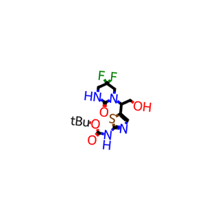 CC(C)(C)OC(=O)Nc1ncc(C(CO)N2CC(F)(F)CNC2=O)s1